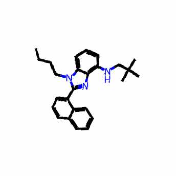 CCCCn1c(-c2cccc3ccccc23)nc2c(NCC(C)(C)C)cccc21